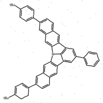 CC(C)(C)C1=CC=C(c2ccc3cc4c5cc(-c6ccccc6)cc6c7cc8ccc(-c9ccc(C(C)(C)C)cc9)cc8cc7n(c4cc3c2)c56)CC1